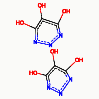 Oc1nnnc(O)c1O.Oc1nnnc(O)c1O